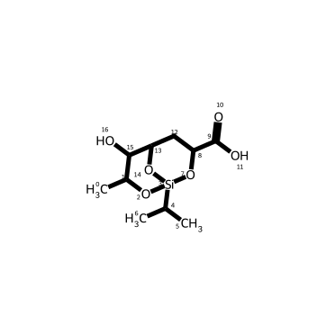 CC1O[Si]2(C(C)C)OC(C(=O)O)CC(O2)C1O